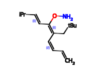 C=C\C=C/C(CC(C)(C)C)=C(\C=C\C(C)C)ON